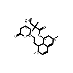 CCC(C)(C)C(=O)O[C@H]1C[C@@H](C)C=C2C=C[C@H](C)C(CC[C@@H]3C[C@@H](O)CC(=O)O3)C21